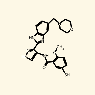 COc1ccc(S)cc1C(=O)Nc1c[nH]nc1-c1nc2cc(CN3CCOCC3)ccc2[nH]1